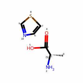 C[C@H](N)C(=O)O.c1cscn1